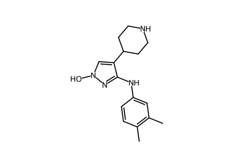 Cc1ccc(Nc2nn(O)cc2C2CCNCC2)cc1C